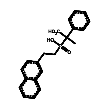 CC(C(=O)O)(c1ccccc1)P(=O)(O)CCc1ccc2ccccc2c1